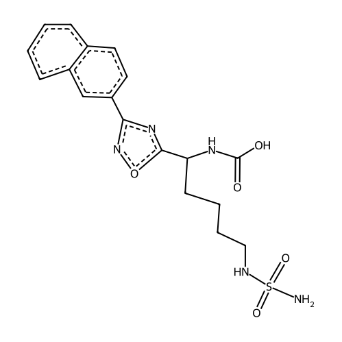 NS(=O)(=O)NCCCCC(NC(=O)O)c1nc(-c2ccc3ccccc3c2)no1